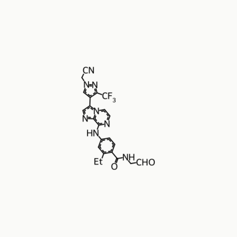 CCc1cc(Nc2nccn3c(-c4cn(CC#N)nc4C(F)(F)F)cnc23)ccc1C(=O)NCC=O